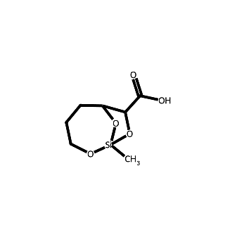 C[Si]12OCCCC(O1)C(C(=O)O)O2